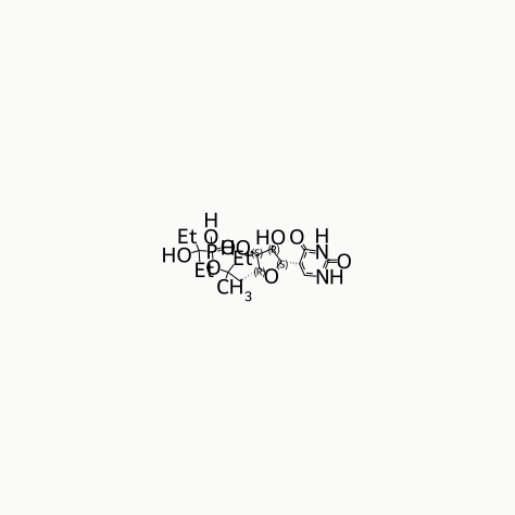 CCC(C)(C[C@H]1O[C@@H](c2c[nH]c(=O)[nH]c2=O)[C@H](O)[C@@H]1O)OP(=O)(O)C(O)(CC)CC